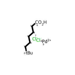 CC(C)(C)CCCCCC(=O)O.[Cl-].[Cl-].[Pd+2]